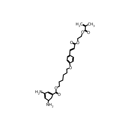 C=C(C)C(=O)OCCOC(=O)/C=C/c1ccc(OCCCCCCOC(=O)C2=CC(N)=CC(N)C2)cc1